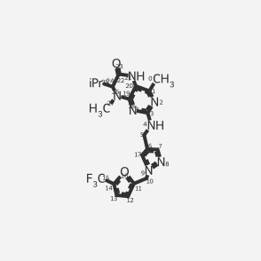 Cc1nc(NCc2cnn(Cc3ccc(C(F)(F)F)o3)c2)nc2c1NC(=O)C(C(C)C)N2C